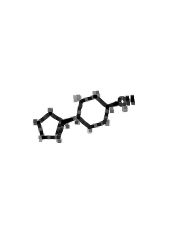 O[C@H]1CC[C@@H](C2=CCCC2)CC1